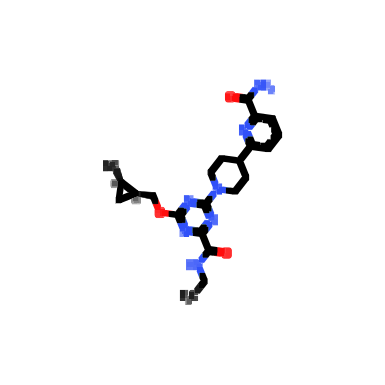 N#C[C@@H]1C[C@@H]1COc1nc(C(=O)NCC(F)(F)F)nc(N2CCC(c3cccc(C(N)=O)n3)CC2)n1